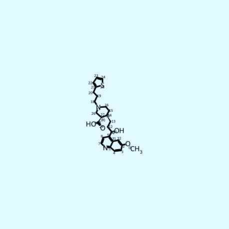 COc1ccc2nccc([C@H](O)CC[C@@H]3CCN(CCCc4cccs4)C[C@@H]3C(=O)O)c2c1